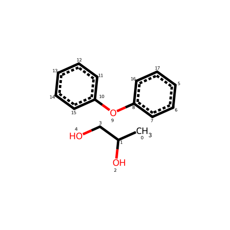 CC(O)CO.c1ccc(Oc2ccccc2)cc1